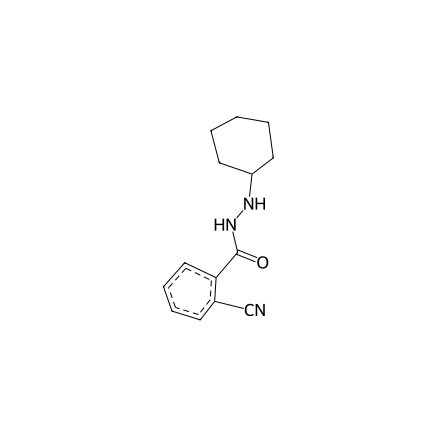 N#Cc1ccccc1C(=O)NNC1CCCCC1